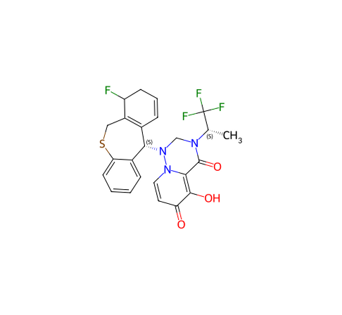 C[C@H](N1CN([C@H]2C3=C(CSc4ccccc42)C(F)CC=C3)n2ccc(=O)c(O)c2C1=O)C(F)(F)F